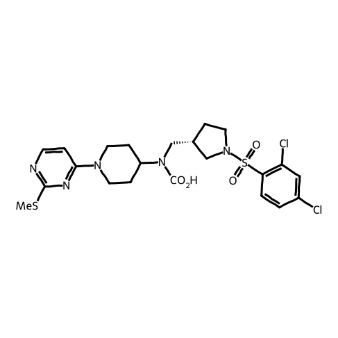 CSc1nccc(N2CCC(N(C[C@@H]3CCN(S(=O)(=O)c4ccc(Cl)cc4Cl)C3)C(=O)O)CC2)n1